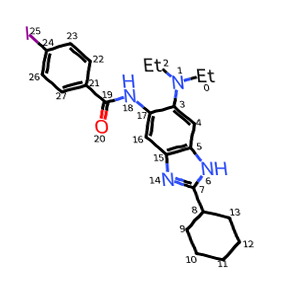 CCN(CC)c1cc2[nH]c(C3CCCCC3)nc2cc1NC(=O)c1ccc(I)cc1